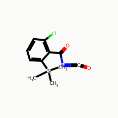 C[Si](C)(C)c1cccc(Cl)c1C(=O)N=C=O